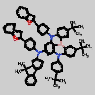 CC(C)(C)c1ccc(N2c3ccc(C(C)(C)C)cc3B3c4cc(C(C)(C)C)ccc4N(c4ccc(-c5cc6ccccc6o5)cc4)c4cc(N(c5ccc(-c6cc7ccccc7o6)cc5)c5ccc6c(c5)C(C)(C)c5ccccc5-6)cc2c43)cc1